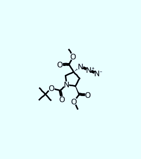 COC(=O)[C@@H]1C[C@](N=[N+]=[N-])(C(=O)OC)CN1C(=O)OC(C)(C)C